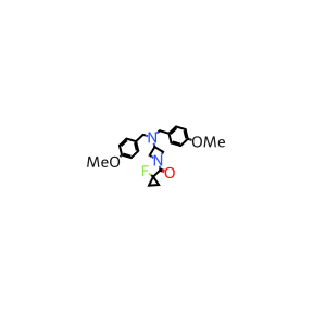 COc1ccc(CN(Cc2ccc(OC)cc2)C2CN(C(=O)C3(F)CC3)C2)cc1